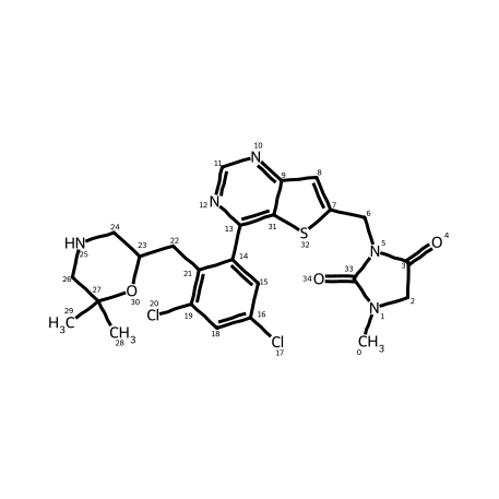 CN1CC(=O)N(Cc2cc3ncnc(-c4cc(Cl)cc(Cl)c4CC4CNCC(C)(C)O4)c3s2)C1=O